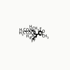 Cn1cc(-c2cc(C(F)(F)F)nn2CC(C)(C)NC(=O)OC(C)(C)C)cc(F)c1=O